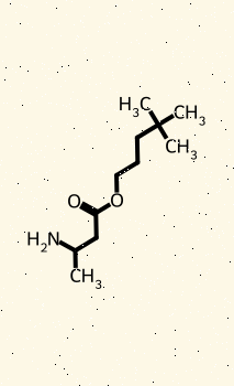 CC(N)CC(=O)OCCCC(C)(C)C